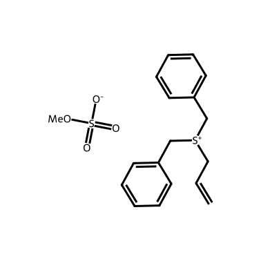 C=CC[S+](Cc1ccccc1)Cc1ccccc1.COS(=O)(=O)[O-]